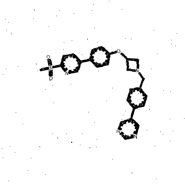 CS(=O)(=O)c1ccc(-c2ccc(OC3CN(Cc4ccc(-c5cncnc5)cc4)C3)cc2)cn1